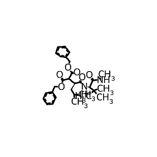 CNC(=O)[C@@H](NC(=O)[C@@H](CC(C)C)C(C(=O)OCc1ccccc1)C(=O)OCc1ccccc1)C(C)(C)C